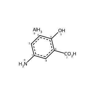 Nc1ccc(O)c(C(=O)O)c1.[AlH3]